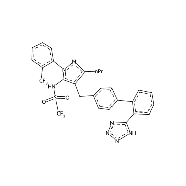 CCCc1nn(-c2ccccc2C(F)(F)F)c(NS(=O)(=O)C(F)(F)F)c1Cc1ccc(-c2ccccc2-c2nnn[nH]2)cc1